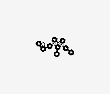 c1ccc(-c2ccc(N3c4ccccc4B4c5ccccc5N(c5ccc(-c6cccc7c6oc6ccccc67)cc5)c5cc(C6CCCCC6)cc3c54)cc2)cc1